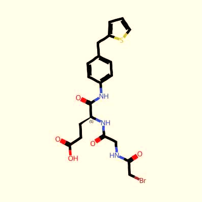 O=C(O)CC[C@H](NC(=O)CNC(=O)CBr)C(=O)Nc1ccc(Cc2cccs2)cc1